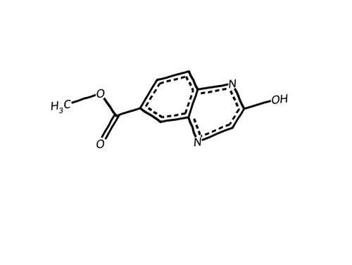 COC(=O)c1ccc2nc(O)cnc2c1